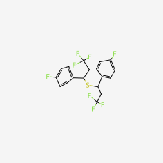 Fc1ccc(C(CC(F)(F)F)SC(CC(F)(F)F)c2ccc(F)cc2)cc1